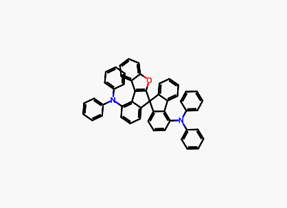 c1ccc(N(c2ccccc2)c2cccc3c2-c2ccccc2C32c3cccc(N(c4ccccc4)c4ccccc4)c3-c3c2oc2ccccc32)cc1